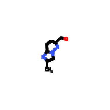 Cc1cn2nc(C=O)ccc2n1